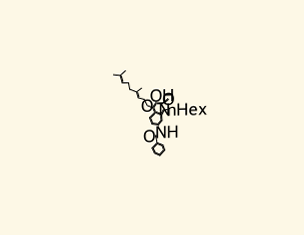 CCCCCCn1c(=O)c(O)c(OC/C=C(\C)CCC=C(C)C)c2ccc(NC(=O)c3ccccc3)cc21